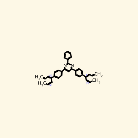 C=C/C=C(\C=C/C)c1ccc(-c2cc(-c3ccc(C(/C=C\C)=C/C=C)cc3)nc(-c3ccccc3)n2)cc1